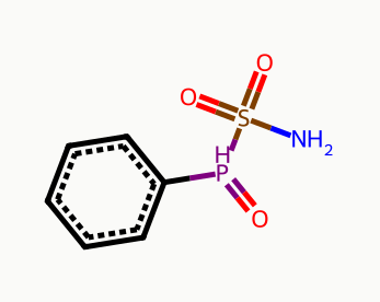 NS(=O)(=O)[PH](=O)c1ccccc1